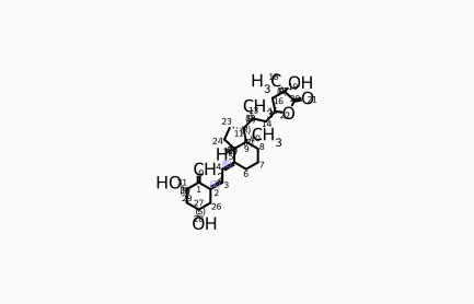 C=C1/C(=C\C=C2/CCC[C@]3(C)[C@@H]([C@H](C)CC4C[C@@](C)(O)C(=O)O4)CC[C@@H]23)C[C@H](O)C[C@@H]1O